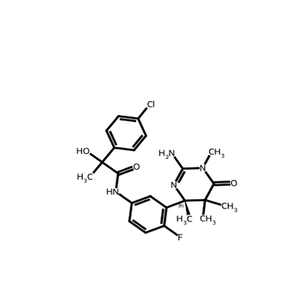 CN1C(=O)C(C)(C)[C@](C)(c2cc(NC(=O)C(C)(O)c3ccc(Cl)cc3)ccc2F)N=C1N